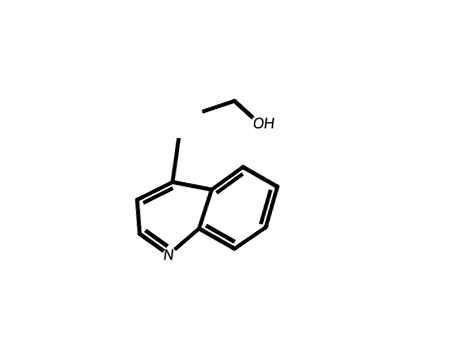 CCO.Cc1ccnc2ccccc12